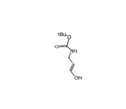 CC(C)(C)OC(=O)NCC=CO